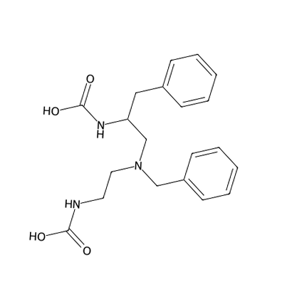 O=C(O)NCCN(Cc1ccccc1)CC(Cc1ccccc1)NC(=O)O